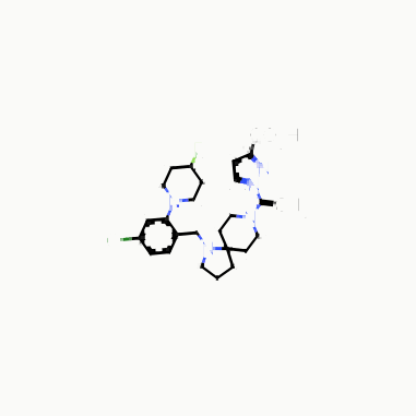 C=C(N1CCC2(CCCN2Cc2ccc(Cl)cc2N2CCC(F)CC2)CC1)n1ccc(C(=O)O)n1